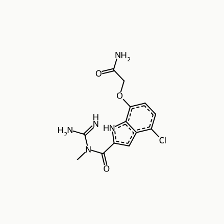 CN(C(=N)N)C(=O)c1cc2c(Cl)ccc(OCC(N)=O)c2[nH]1